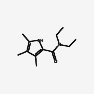 CCN(CC)C(=O)c1[nH]c(C)c(C)c1C